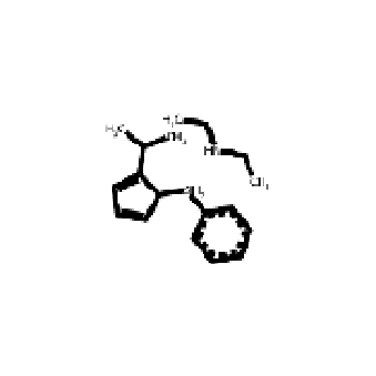 CC(C)C1=CC=C[C]1[SiH2]c1ccccc1.CCNCC